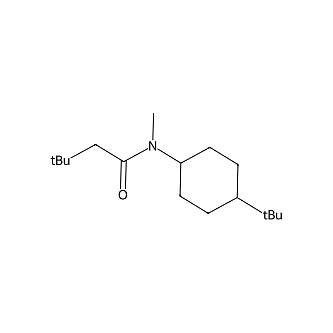 CN(C(=O)CC(C)(C)C)C1CCC(C(C)(C)C)CC1